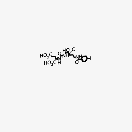 O=C(O)CC[C@H](NC(=O)NC(CCCCNC(=O)c1ccc(I)cc1)C(=O)O)C(=O)O